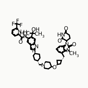 Cn1c(=O)n(C2CCC(=O)NC2=O)c2cccc(C[C@H]3C[C@H](OC4CCN(C[C@H]5CC[C@H](n6cc7cc(NC(=O)c8cccc(C(F)(F)F)n8)c(C(C)(C)O)cc7n6)CC5)CC4)C3)c21